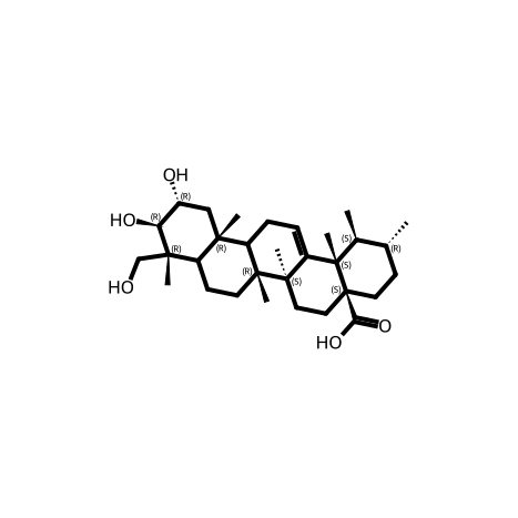 C[C@@H]1CC[C@]2(C(=O)O)CC[C@]3(C)C(=CCC4[C@@]5(C)C[C@@H](O)[C@H](O)[C@@](C)(CO)C5CC[C@]43C)[C@]2(C)[C@H]1C